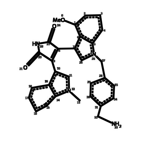 COc1cccc2c1c(C1=C(c3cn(C)c4ccccc34)C(=O)NC1=O)cn2Cc1ccc(CN)cc1